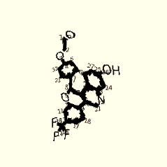 O=CCOc1ccc(C2Oc3cc(C(F)(F)F)ccc3-c3cnc4cc(O)ccc4c32)cc1